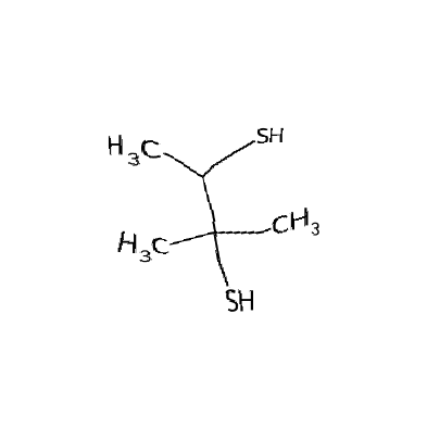 CC(S)C(C)(C)S